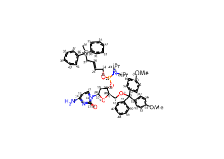 COc1ccc(C(OC[C@H]2O[C@@H](n3ccc(N)nc3=O)C[C@@H]2OP(OCC=CC[Si](C)(c2ccccc2)c2ccccc2)N(C(C)C)C(C)C)(c2ccccc2)c2ccc(OC)cc2)cc1